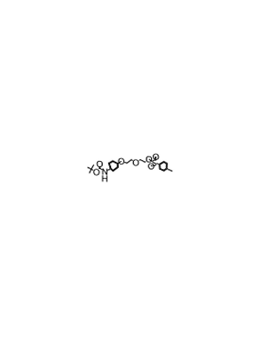 Cc1ccc(S(=O)(=O)OCCOCCOc2ccc(NC(=O)OC(C)(C)C)cc2)cc1